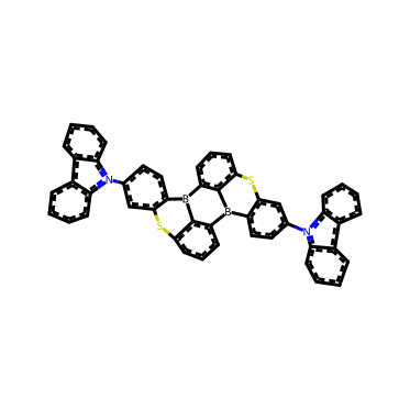 c1cc2c3c(c1)B1c4ccc(-n5c6ccccc6c6ccccc65)cc4Sc4cccc(c41)B3c1ccc(-n3c4ccccc4c4ccccc43)cc1S2